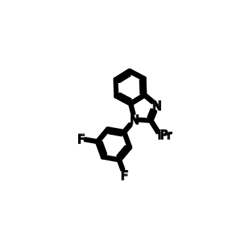 CC(C)c1nc2ccccc2n1-c1cc(F)cc(F)c1